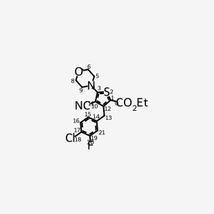 CCOC(=O)c1sc(N2CCOCC2)c(C#N)c1Cc1ccc(Cl)c(F)c1